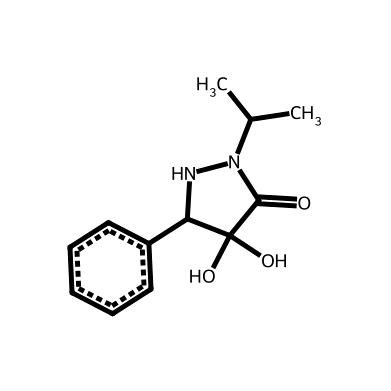 CC(C)N1NC(c2ccccc2)C(O)(O)C1=O